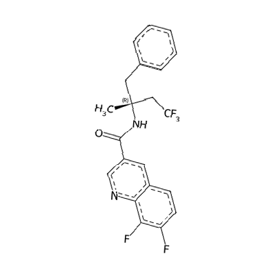 C[C@@](Cc1ccccc1)(CC(F)(F)F)NC(=O)c1cnc2c(F)c(F)ccc2c1